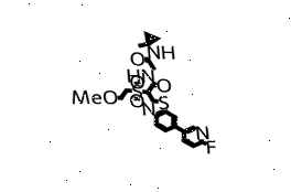 COCCS(=O)(=O)C(C(=O)NCC(=O)NC1(C)CC1)c1nc2ccc(-c3ccc(F)nc3)cc2s1